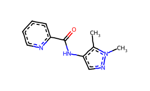 Cc1c(NC(=O)c2ccccn2)cnn1C